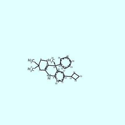 CC1(C)CCC2=C(C1)Nc1ncc(C3CCC3)cc1[C@@]2(C)c1ccccc1